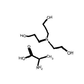 CC(N)C(=O)O.OCCN(CCO)CCO